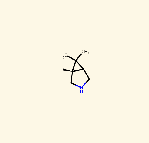 CC1(C)C2CNC[C@@H]21